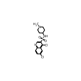 CN1CCC(NS(=O)(=O)c2cnc3ccc(Cl)cc3c2Cl)CC1